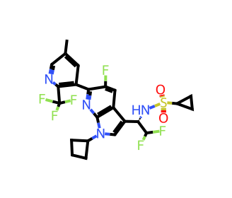 Cc1cnc(C(F)(F)F)c(-c2nc3c(cc2F)c([C@H](NS(=O)(=O)C2CC2)C(F)F)cn3C2CCC2)c1